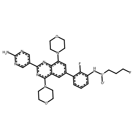 Nc1ncc(-c2nc(N3CCOCC3)c3cc(-c4cccc(N[S+]([O-])CCCF)c4F)cc(N4CCOCC4)c3n2)cn1